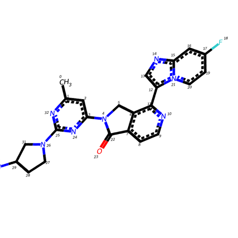 Cc1cc(N2Cc3c(ccnc3-c3cnc4cc(F)ccn34)C2=O)nc(N2CCC(N)C2)n1